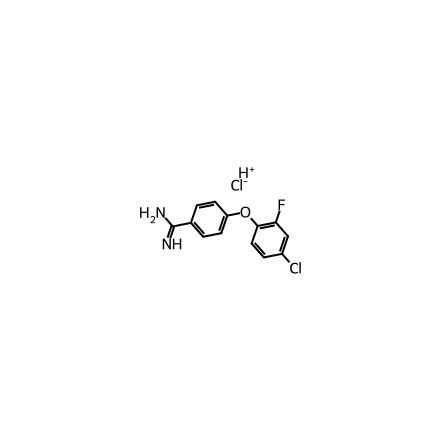 N=C(N)c1ccc(Oc2ccc(Cl)cc2F)cc1.[Cl-].[H+]